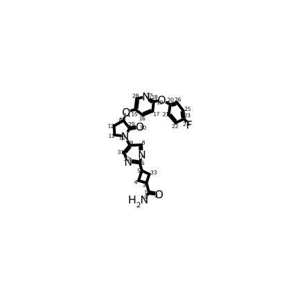 NC(=O)C1CC(c2ncc(N3CC[C@@H](Oc4ccc(Oc5ccc(F)cc5)nc4)C3=O)cn2)C1